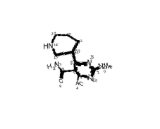 CNc1nc(C(C)=O)c(C(N)=O)c(C2CCCNC2)n1